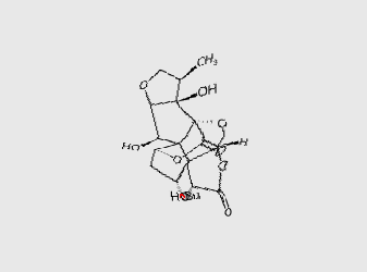 C[C@@H]1COC2[C@H](O)C34C5C[C@@H](C(C)(C)C)C36[C@@H](OC(=O)[C@@H]6O)O[C@@]4(C(=O)O5)[C@]21O